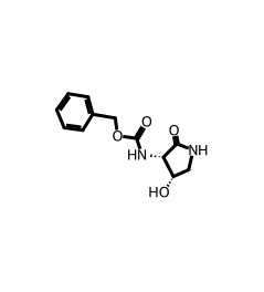 O=C(N[C@@H]1C(=O)NC[C@@H]1O)OCc1ccccc1